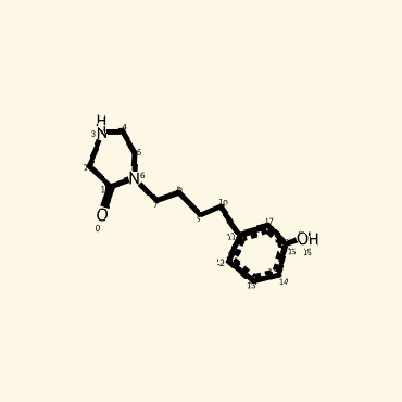 O=C1CNCCN1CCCCc1cccc(O)c1